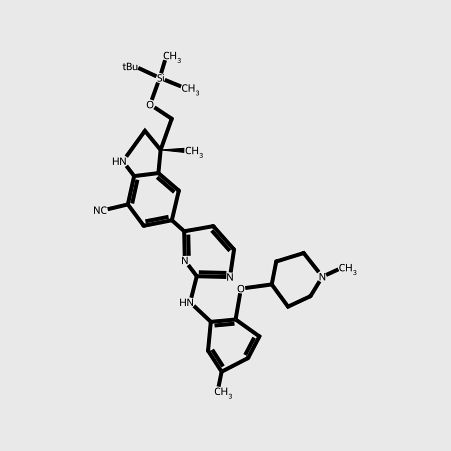 Cc1ccc(OC2CCN(C)CC2)c(Nc2nccc(-c3cc(C#N)c4c(c3)[C@@](C)(CO[Si](C)(C)C(C)(C)C)CN4)n2)c1